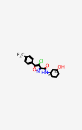 O=C(N[C@@H]1CCC[C@H](O)C1)c1noc(-c2ccc(C(F)(F)F)cc2)c1Cl